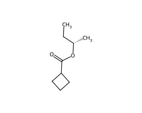 CC[C@H](C)OC(=O)C1CCC1